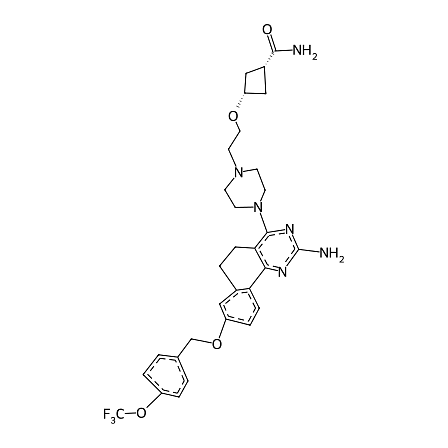 Nc1nc2c(c(N3CCN(CCO[C@H]4C[C@@H](C(N)=O)C4)CC3)n1)CCc1cc(OCc3ccc(OC(F)(F)F)cc3)ccc1-2